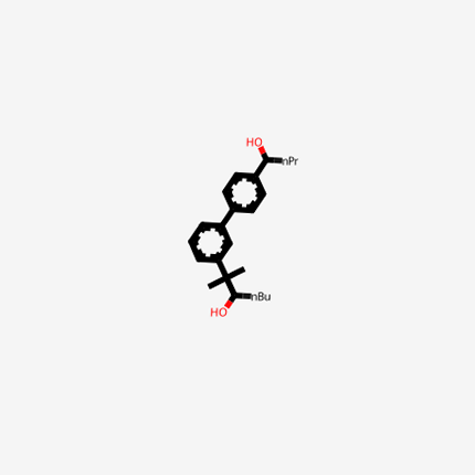 CCCCC(O)C(C)(C)c1cc[c]c(-c2ccc(C(O)CCC)cc2)c1